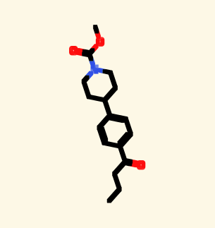 CCCC(=O)c1ccc(C2CCN(C(=O)OC)CC2)cc1